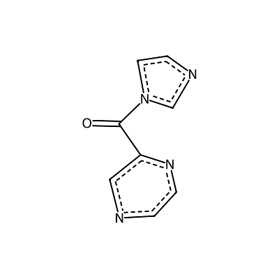 O=C(c1cnccn1)n1ccnc1